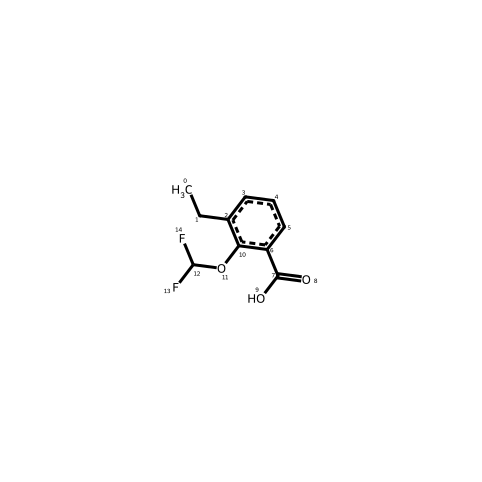 CCc1cccc(C(=O)O)c1OC(F)F